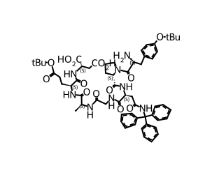 C[C@H](NC(=O)CNC(=O)[C@H](CC(=O)NC(c1ccccc1)(c1ccccc1)c1ccccc1)NC(=O)[C@@H]1CCCN1C(=O)[C@@H](N)Cc1ccc(OC(C)(C)C)cc1)C(=O)N[C@@H](CCC(=O)OC(C)(C)C)C(=O)N[C@@H](CC(=O)O)C(=O)O